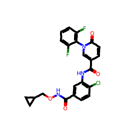 O=C(NOCC1CC1)c1ccc(Cl)c(NC(=O)c2ccc(=O)n(-c3c(F)cccc3F)c2)c1